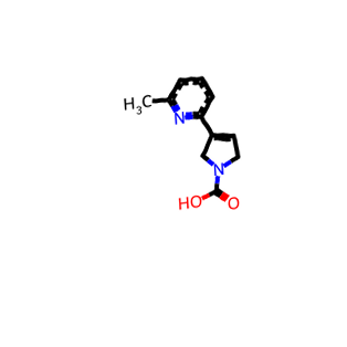 Cc1cccc(C2=CCN(C(=O)O)C2)n1